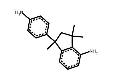 CC1(C)CC(C)(c2ccc(N)cc2)c2cccc(N)c21